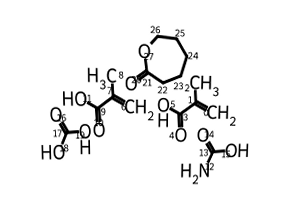 C=C(C)C(=O)O.C=C(C)C(=O)O.NC(=O)O.O=C(O)O.O=C1CCCCCO1